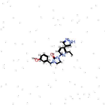 CCc1nc(N2CCN(Cc3cccc(OC)c3)C2=O)ccc1-c1cn[nH]c1